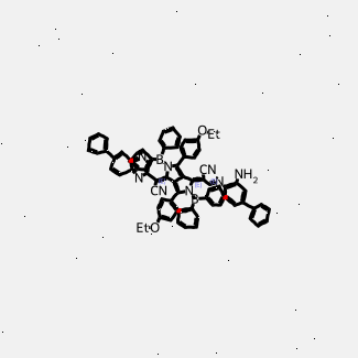 CCOc1ccc(-c2c3/c(=C(\C#N)c4cnc5cc(-c6ccccc6)ccc5n4)n(B(c4ccccc4)c4ccccc4)c(-c4ccc(OCC)cc4)c3/c(=C(C#N)/C=N/c3ccc(-c4ccccc4)cc3N)n2B(c2ccccc2)c2ccccc2)cc1